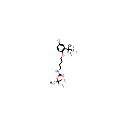 CC(C)(C)OC(=O)NCCCCOc1ccc(Cl)cc1C(C)(C)C